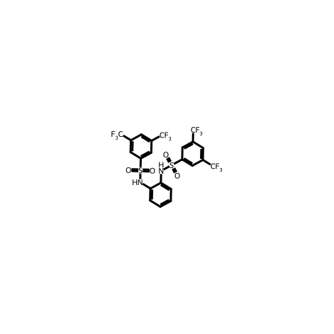 O=S(=O)(Nc1ccccc1NS(=O)(=O)c1cc(C(F)(F)F)cc(C(F)(F)F)c1)c1cc(C(F)(F)F)cc(C(F)(F)F)c1